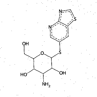 NC1C(O)C(CO)OC(Sc2cnc3ncsc3c2)C1O